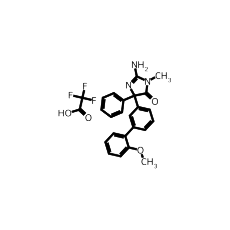 COc1ccccc1-c1cccc(C2(c3ccccc3)N=C(N)N(C)C2=O)c1.O=C(O)C(F)(F)F